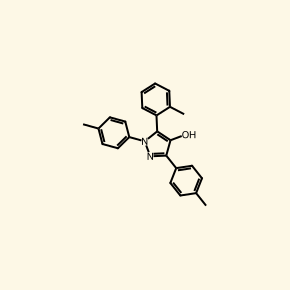 Cc1ccc(-c2nn(-c3ccc(C)cc3)c(-c3ccccc3C)c2O)cc1